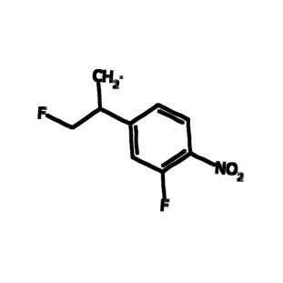 [CH2]C(CF)c1ccc([N+](=O)[O-])c(F)c1